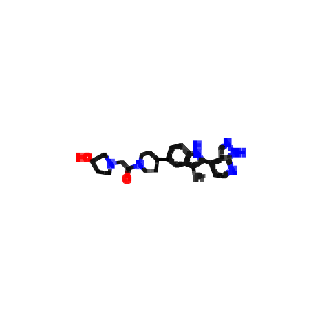 CC(C)c1c(-c2ccnc3[nH]ncc23)[nH]c2ccc(C3CCN(C(=O)CN4CCC(O)C4)CC3)cc12